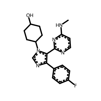 CNc1ccnc(-c2c(-c3ccc(F)cc3)ncn2C2CCC(O)CC2)n1